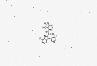 CC(Nc1ncnc(N)c1C#N)c1nc2c(F)cccc2n1-c1cncc(F)c1